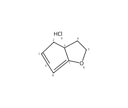 C1=CCC2CCOC2=C1.Cl